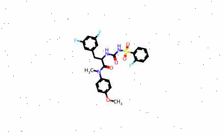 COc1ccc(N(C)C(=O)C(Cc2cc(F)cc(F)c2)NC(=O)NS(=O)(=O)c2ccccc2F)cc1